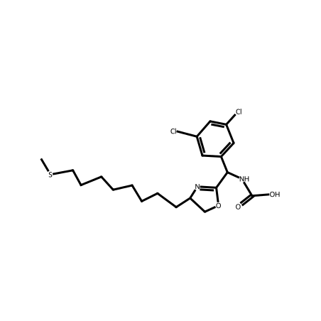 CSCCCCCCCCC1COC(C(NC(=O)O)c2cc(Cl)cc(Cl)c2)=N1